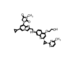 Cc1ccnc([C@H]2C[C@@H]2c2cc(OCCO)c3ccc(NCc4cn5cc(C6CC6)cc(N6CC(=O)N(C)C6=O)c5n4)cc3n2)n1